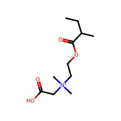 CCC(C)C(=O)OCC[N+](C)(C)CC(=O)O